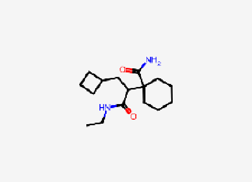 CCNC(=O)C(CC1CCC1)C1(C(N)=O)CCCCC1